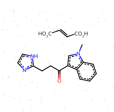 Cn1cc(C(=O)CCc2ncc[nH]2)c2ccccc21.O=C(O)C=CC(=O)O